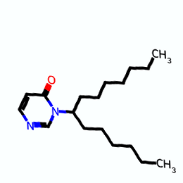 CCCCCCCC(CCCCCC)n1cnccc1=O